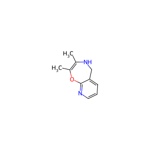 CC1=C(C)Oc2ncccc2CN1